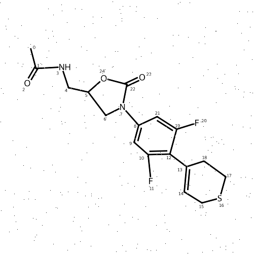 CC(=O)NCC1CN(c2cc(F)c(C3=CCSCC3)c(F)c2)C(=O)O1